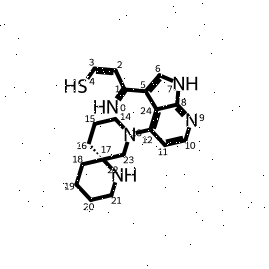 N=C(/C=C\S)c1c[nH]c2nccc(N3CCC[C@]4(CCCCN4)C3)c12